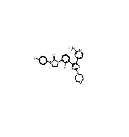 Nc1nccc(-c2nc(N3CCOCC3)sc2-c2cccc(N3CCN(c4ccc(F)cc4)C3=O)c2F)n1